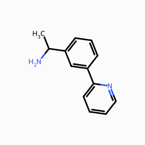 CC(N)c1cccc(-c2ccccn2)c1